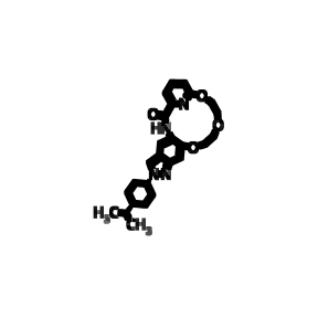 CC(C)[C@H]1CC[C@H](n2cc3cc4c(cc3n2)OCCOCCOc2cccc(n2)C(=O)N4)CC1